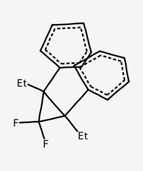 CCC1(c2ccccc2)C(F)(F)C1(CC)c1ccccc1